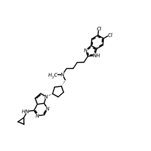 CN(CCCCc1nc2cc(Cl)c(Cl)cc2[nH]1)C[C@@H]1CC[C@H](N2C=CC3C(NC4CC4)=NC=NC32)C1